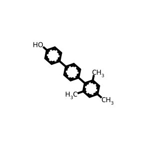 Cc1cc(C)c(-c2ccc(-c3ccc(O)cc3)cc2)c(C)c1